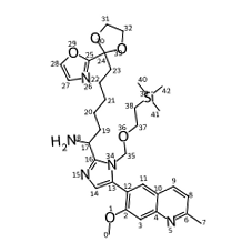 COc1cc2nc(C)ccc2cc1-c1cnc(C(N)CCCCCC2(c3ncco3)OCCO2)n1COCC[Si](C)(C)C